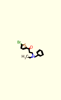 CCN(CCC(=O)c1ccc(Br)s1)Cc1ccccc1